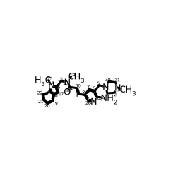 CN1CCN(Cc2cc(/C=C/C(=O)N(C)Cc3cc4ccccc4n3C)cnc2N)CC1